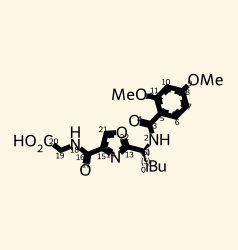 CC[C@H](C)[C@H](NC(=O)c1ccc(OC)cc1OC)c1nc(C(=O)NCC(=O)O)co1